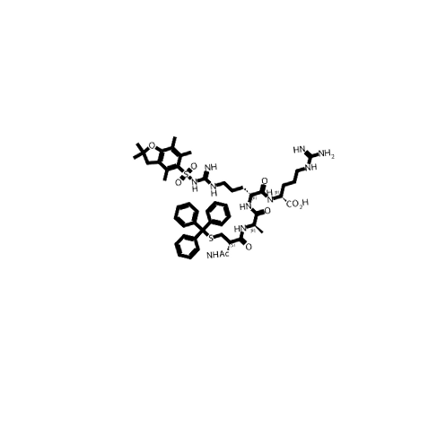 CC(=O)N[C@H](CSC(c1ccccc1)(c1ccccc1)c1ccccc1)C(=O)N[C@H](C)C(=O)N[C@H](CCCNC(=N)NS(=O)(=O)c1c(C)c(C)c2c(c1C)CC(C)(C)O2)C(=O)N[C@H](CCCNC(=N)N)C(=O)O